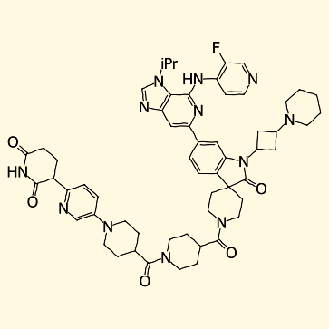 CC(C)n1cnc2cc(-c3ccc4c(c3)N(C3CC(N5CCCCC5)C3)C(=O)C43CCN(C(=O)C4CCN(C(=O)C5CCN(c6ccc(C7CCC(=O)NC7=O)nc6)CC5)CC4)CC3)nc(Nc3ccncc3F)c21